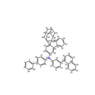 c1ccc(-c2ccc(N(c3cccc(-c4cccc5ccccc45)c3)c3ccc4c(c3)-c3ccccc3C43C4CC5CC(C4)CC3C5)cc2)cc1